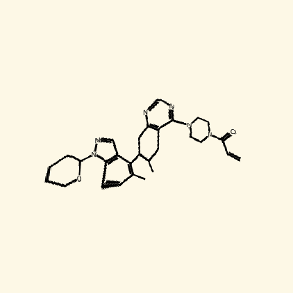 C=CC(=O)N1CCN(c2ncnc3c2CC(C)C(c2c(C)ccc4c2cnn4C2CCCCO2)C3)CC1